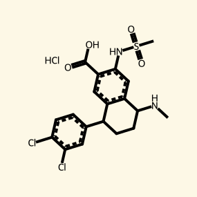 CNC1CCC(c2ccc(Cl)c(Cl)c2)c2cc(C(=O)O)c(NS(C)(=O)=O)cc21.Cl